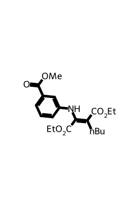 CCCC/C(C(=O)OCC)=C(/Nc1cccc(C(=O)OC)c1)C(=O)OCC